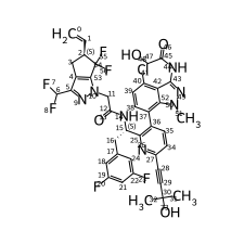 C=C[C@@H]1Cc2c(C(F)F)nn(CC(=O)N[C@@H](Cc3cc(F)cc(F)c3)c3nc(C#CC(C)(C)O)ccc3-c3ccc(Cl)c4c(NC(=O)CO)nn(C)c34)c2C1(F)F